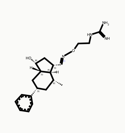 C[C@@H]1C[C@H](c2ccccc2)C[C@H]2[C@H]1[C@@H](/C=N/OCCNC(=N)N)C[C@H]2O